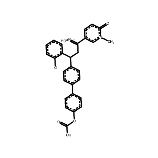 Cn1cc(/C(CC(c2ccc(-c3ccc(OC(=O)O)cc3)cc2)c2ccccc2Cl)=N/O)ccc1=O